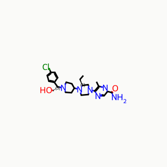 CC[C@H]1CN(c2ncc(C(N)=O)nc2C)CCN1C1CCN([C@H](CO)c2ccc(Cl)cc2)CC1